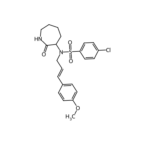 COc1ccc(/C=C/CN(C2CCCCNC2=O)S(=O)(=O)c2ccc(Cl)cc2)cc1